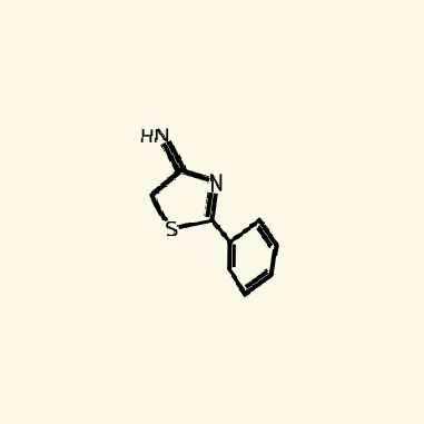 N=C1CSC(c2ccccc2)=N1